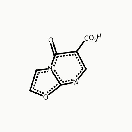 O=C(O)c1cnc2occn2c1=O